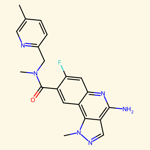 Cc1ccc(CN(C)C(=O)c2cc3c(cc2F)nc(N)c2cnn(C)c23)nc1